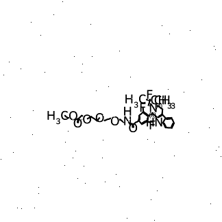 CCOC(=O)COCCOCCOCCNC(=O)c1cc(F)c([C@@H]2c3[nH]c4ccccc4c3C[C@@H](C)N2CC(C)(C)F)c(F)c1